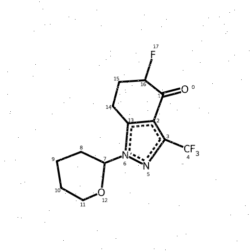 O=C1c2c(C(F)(F)F)nn(C3CCCCO3)c2CCC1F